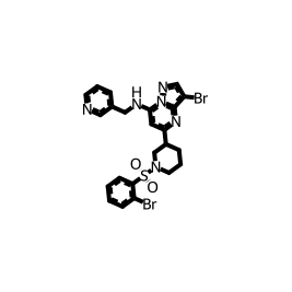 O=S(=O)(c1ccccc1Br)N1CCCC(c2cc(NCc3cccnc3)n3ncc(Br)c3n2)C1